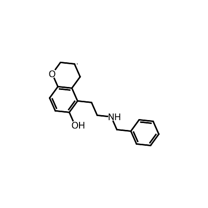 Oc1ccc2c(c1CCNCc1ccccc1)C[CH]CO2